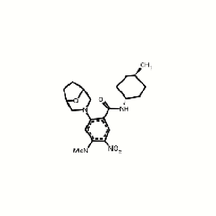 CNc1cc(N2CC3CCC(C2)O3)c(C(=O)N[C@H]2CC[C@H](C)CC2)cc1[N+](=O)[O-]